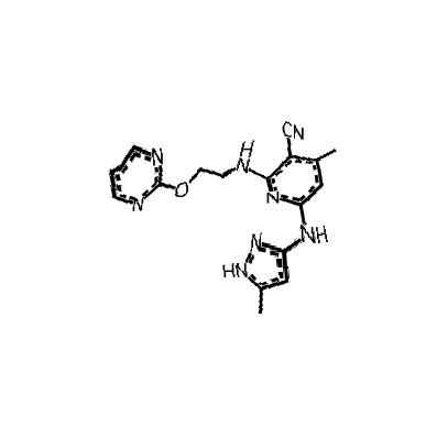 Cc1cc(Nc2cc(C)c(C#N)c(NCCOc3ncccn3)n2)n[nH]1